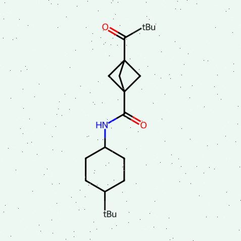 CC(C)(C)C(=O)C12CC(C(=O)NC3CCC(C(C)(C)C)CC3)(C1)C2